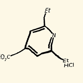 CCc1cc(C(=O)O)cc(CC)n1.Cl